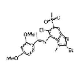 CCc1nc2cc(S(C)(=O)=O)c(Cl)c(N=C(C)c3ccc(OC)cc3OC)c2n1C